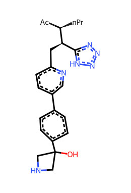 CCC[C@H](C(C)=O)[C@H](Cc1ccc(-c2ccc(C3(O)CNC3)cc2)cn1)c1nnn[nH]1